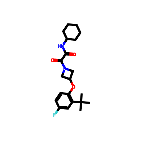 CC(C)(C)c1cc(F)ccc1OC1CN(C(=O)C(=O)NC2CCCCC2)C1